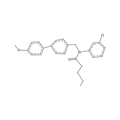 CCCCC(=O)N(Cc1ccc(-c2ccc(OC)cc2)cc1)c1cccc(Cl)c1